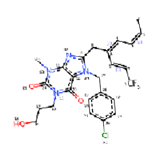 C\C=C/C=C(\C=C\C(F)(F)F)Cc1nc2c(c(=O)n(CCCO)c(=O)n2C)n1Cc1ccc(Cl)cc1